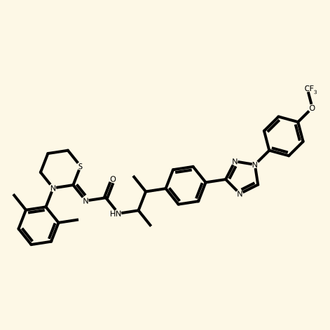 Cc1cccc(C)c1N1CCCS/C1=N\C(=O)NC(C)C(C)c1ccc(-c2ncn(-c3ccc(OC(F)(F)F)cc3)n2)cc1